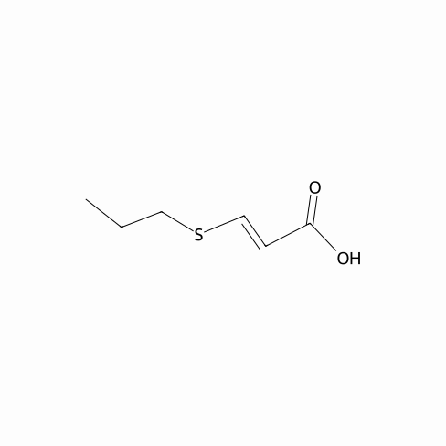 CCCS/C=C/C(=O)O